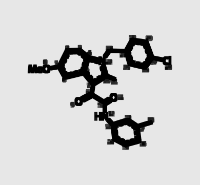 COc1ccc2c(c1)c(C(=O)C(=O)Nc1cccc(C)c1)c(C)n2Cc1ccc(Cl)cc1